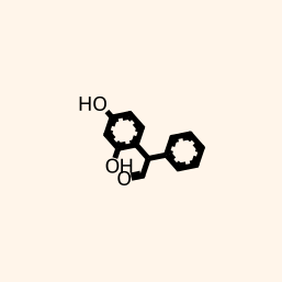 O=CC(c1ccccc1)c1ccc(O)cc1O